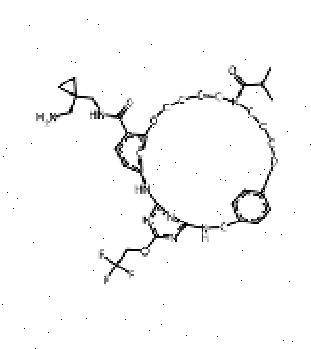 CC(C)C(=O)N1CCCCOc2cc(ccc2C(=O)NCC2(CN)CC2)Nc2nc(nc(OCC(F)(F)F)n2)NCc2ccc(cc2)OCCC1